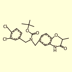 CC1Oc2ccc(CN(Cc3ccc(Cl)c(Cl)c3)C(=O)OC(C)(C)C)cc2NC1=O